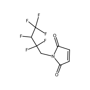 O=C1C=CC(=O)N1CC(F)(F)C(F)C(F)(F)F